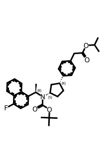 CC(C)OC(=O)Cc1ccc([C@@H]2CC[C@H](N(C(=O)OC(C)(C)C)[C@H](C)c3ccc(F)c4ccccc34)C2)cc1